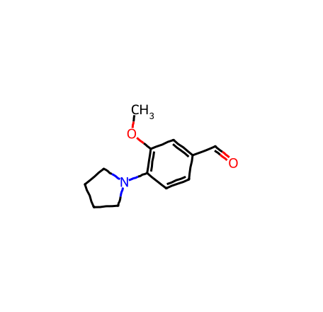 COc1cc(C=O)ccc1N1CCCC1